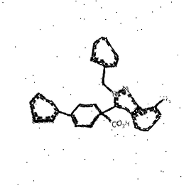 O=C(O)C1(c2c3cccc(C(F)(F)F)c3nn2Cc2ccccc2)C=CC(c2ccccc2)=CC1